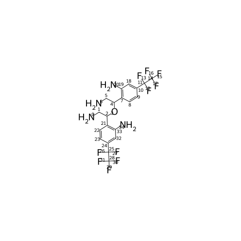 NCC(OC(CN)c1ccc(C(F)(F)C(F)(F)F)cc1N)c1ccc(C(F)(F)C(F)(F)F)cc1N